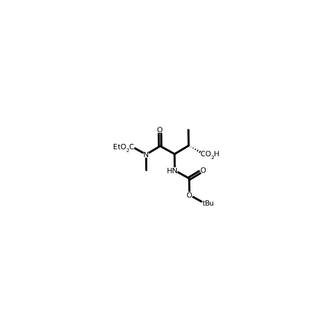 CCOC(=O)N(C)C(=O)C(NC(=O)OC(C)(C)C)[C@H](C)C(=O)O